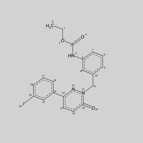 CCOC(=O)Nc1cccc(Cn2nc(-c3cccc(I)c3)ccc2=O)c1